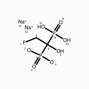 O=P([O-])([O-])C(O)(CF)P(=O)(O)O.[Na+].[Na+]